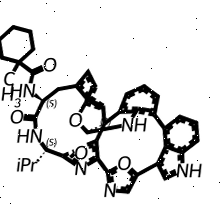 CC(C)[C@@H]1NC(=O)[C@@H](NC(=O)C2(C)CCCCC2)Cc2ccc3c(c2)[C@]24c5cccc(c5NC2O3)-c2cccc3[nH]cc(c23)-c2cnc(o2)-c2nc1oc24